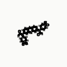 CC(=O)N(c1ccc2cc3ccc(N(C(C)=O)N4CCS(=O)(=O)CC4)cc3nc2c1)N1CCS(=O)(=O)CC1